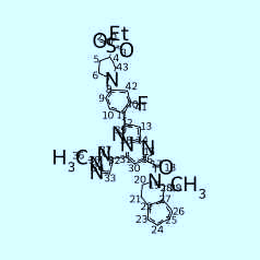 CCS(=O)(=O)[C@H]1CCN(c2ccc(-c3cc4nc(C(=O)N5CCc6ccccc6[C@H]5C)cc(-c5cnn(C)n5)n4n3)c(F)c2)C1